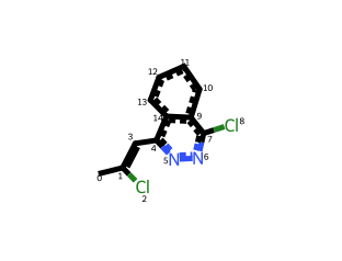 CC(Cl)=Cc1nnc(Cl)c2ccccc12